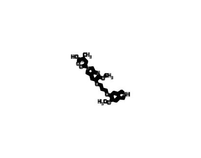 COc1cc2c(cc1OCCCOc1cc3c(nc1OC)CN(C(=O)C[C@H](C)C(=O)O)C3)CNC2